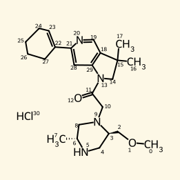 COC[C@H]1CN[C@H](C)CN1CC(=O)N1CC(C)(C)c2cnc(C3=CCCCC3)cc21.Cl